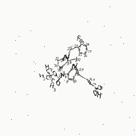 CC(C)(C)OC(=O)N(c1ccc(C=CC(=O)O)cn1)[C@@H]1CCN(Cc2ccccc2F)C1I